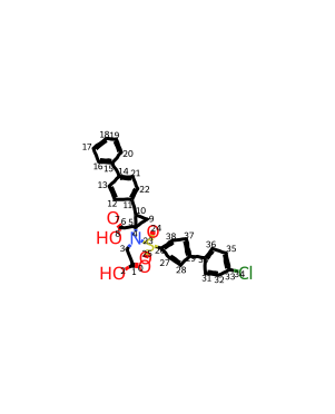 O=C(O)CN(C1(C(=O)O)CC1c1ccc(-c2ccccc2)cc1)S(=O)(=O)c1ccc(-c2ccc(Cl)cc2)cc1